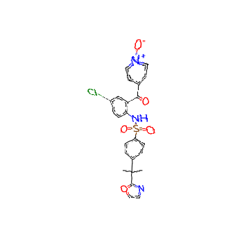 CC(C)(c1ccc(S(=O)(=O)Nc2ccc(Cl)cc2C(=O)c2cc[n+]([O-])cc2)cc1)c1ncco1